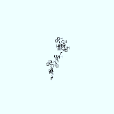 O=C(O)CCC(NC(=O)N[C@@H](CCCCNC(=O)N1CCN(C(=O)c2cc(C(=O)O)cc(-n3cc(CCCF)nn3)c2)CC1)C(=O)O)C(=O)O